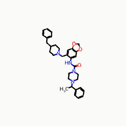 CC(c1ccccc1)N1CCN(C(=O)Nc2cc3c(cc2CN2CCC(Cc4ccccc4)CC2)OCO3)CC1